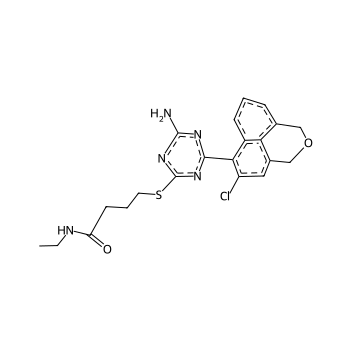 CCNC(=O)CCCSc1nc(N)nc(-c2c(Cl)cc3c4c(cccc24)COC3)n1